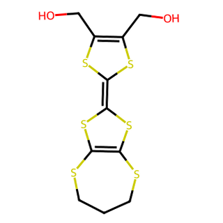 OCC1=C(CO)SC(=C2SC3=C(SCCCS3)S2)S1